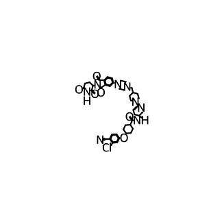 CC1(NC(=O)C2CCC(Oc3ccc(C#N)c(Cl)c3)CC2)C=NC(N2CCC(CN3CCN(c4ccc5c(c4)C(=O)N(C4CCC(=O)NC4=O)C5=O)CC3)CC2)=CC1